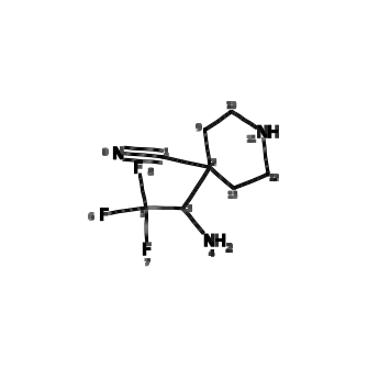 N#CC1(C(N)C(F)(F)F)CCNCC1